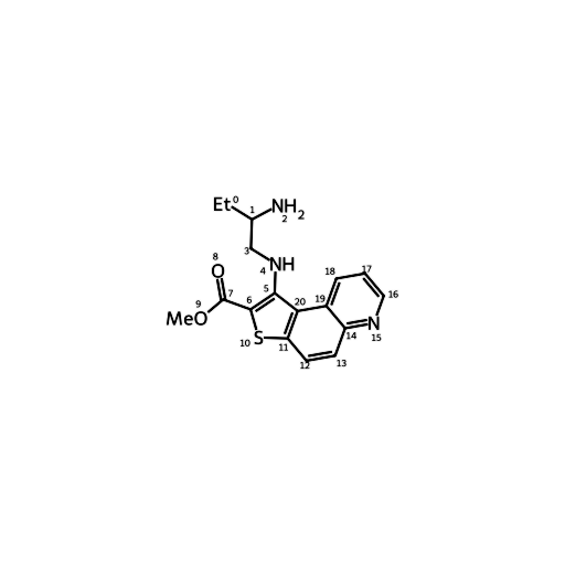 CCC(N)CNc1c(C(=O)OC)sc2ccc3ncccc3c12